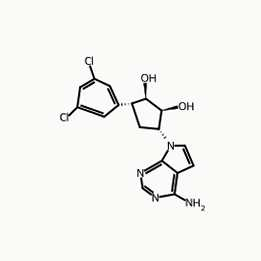 Nc1ncnc2c1ccn2[C@@H]1C[C@H](c2cc(Cl)cc(Cl)c2)[C@@H](O)[C@H]1O